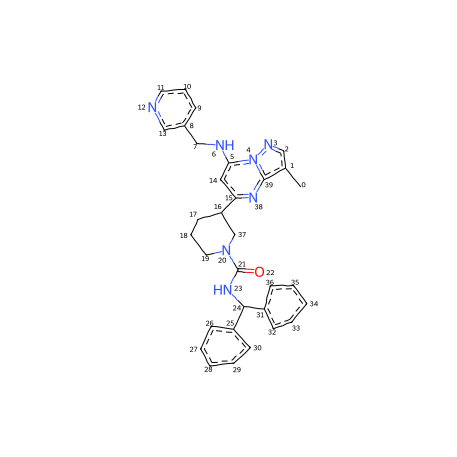 Cc1cnn2c(NCc3cccnc3)cc(C3CCCN(C(=O)NC(c4ccccc4)c4ccccc4)C3)nc12